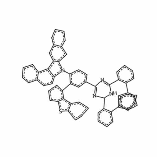 c1ccc(-c2ccccc2C2=NC(c3ccc(-n4c5cc6ccccc6cc5c5c6ccccc6ccc54)c(-c4cccc5sc6ccccc6c45)c3)=NC(c3ccccc3-c3ccccc3)N2)cc1